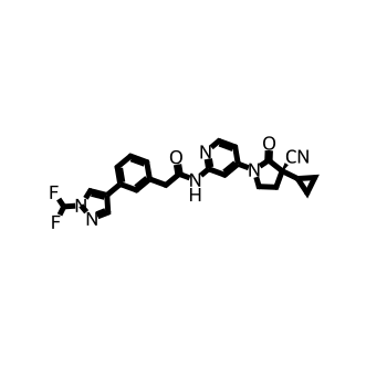 N#C[C@@]1(C2CC2)CCN(c2ccnc(NC(=O)Cc3cccc(-c4cnn(C(F)F)c4)c3)c2)C1=O